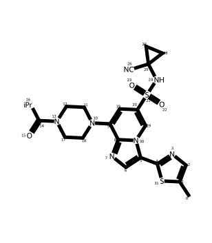 Cc1cnc(-c2cnc3c(N4CCN(C(=O)C(C)C)CC4)cc(S(=O)(=O)NC4(C#N)CC4)cn23)s1